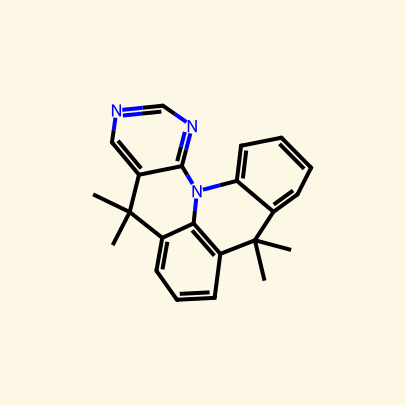 CC1(C)c2ccccc2N2c3ncncc3C(C)(C)c3cccc1c32